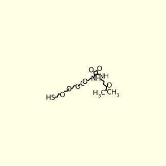 CC(C)C(=O)CCCNc1c(NCCOCCOCCOCCOCCS)c(=O)c1=O